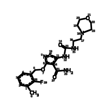 Cc1cccc(COc2nsc(NC(=O)NCCN3CCOCC3)c2C(N)=O)c1F